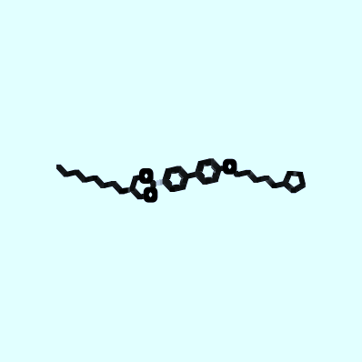 CCCCCCCC[C@H]1CO[C@H](c2ccc(-c3ccc(OCCCCCC4CCCC4)cc3)cc2)OC1